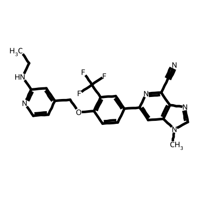 CCNc1cc(COc2ccc(-c3cc4c(ncn4C)c(C#N)n3)cc2C(F)(F)F)ccn1